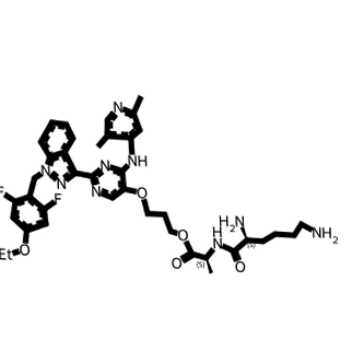 CCOc1cc(F)c(Cn2nc(-c3ncc(OCCCOC(=O)[C@H](C)NC(=O)[C@@H](N)CCCCN)c(Nc4cc(C)ncc4C)n3)c3ccccc32)c(F)c1